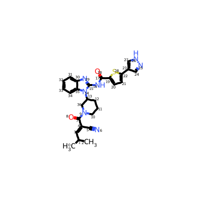 CC(C)/C=C(\C#N)C(=O)N1CCCC(n2c(NC(=O)c3ccc(-c4cn[nH]c4)s3)nc3ccccc32)C1